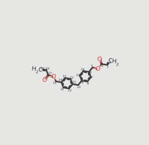 C=CC(=O)OCc1ccc(Cc2ccc(COC(=O)C=C)cc2)cc1